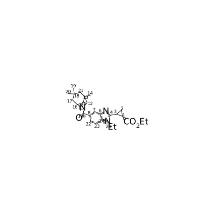 CCOC(=O)C1CC1c1nc2cc(C(=O)N3CC4(C)CC3CC(C)(C)C4)ccc2n1CC